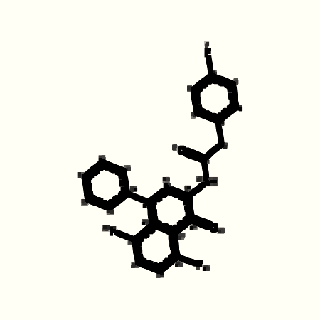 O=C(Cc1ccc(F)cc1)Nn1nc(-c2ccccc2)c2c(F)ccc(F)c2c1=O